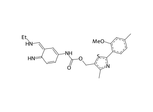 CCN/C=C1/C=C(NC(=O)OCc2sc(-c3ccc(C)cc3OC)nc2C)C=CC1=N